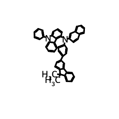 CC1(C)c2ccccc2-c2cc(-c3ccc(N(c4ccc5ccccc5c4)c4cccc5c4c4ccccc4n5-c4ccccc4)cc3)ccc21